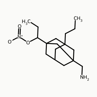 CCCC12CC3CC(CN)(C1)CC(C(CC)O[N+](=O)[O-])(C3)C2